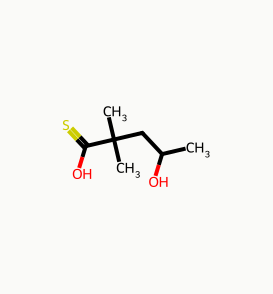 CC(O)CC(C)(C)C(O)=S